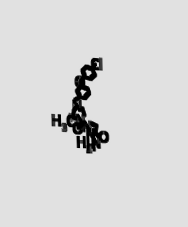 C[C@@H]1CN(Cc2cccc(Oc3ccc(Cl)cc3)c2)CCN1C(=O)N1C=CC(C(N)=O)N1